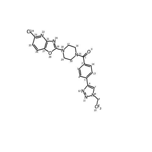 O=C(c1ccc(-c2cn(CC(F)(F)F)nn2)cc1)N1CCN(c2nc3nc(Cl)ccc3o2)CC1